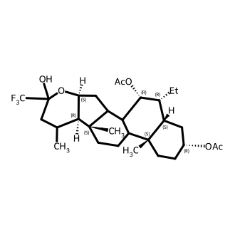 CC[C@H]1[C@@H](OC(C)=O)C2C3C[C@@H]4OC(O)(C(F)(F)F)CC(C)[C@@H]4[C@@]3(C)CCC2[C@@]2(C)CC[C@@H](OC(C)=O)C[C@@H]12